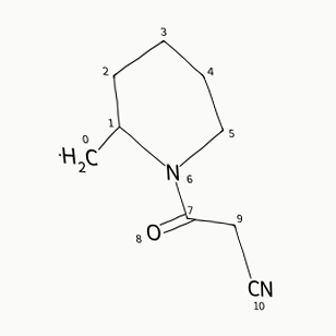 [CH2]C1CCCCN1C(=O)CC#N